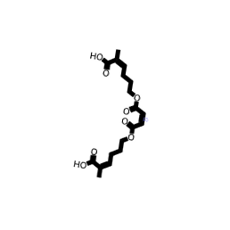 CC(=CCCCOC(=O)/C=C\C(=O)OCCCC=C(C)C(=O)O)C(=O)O